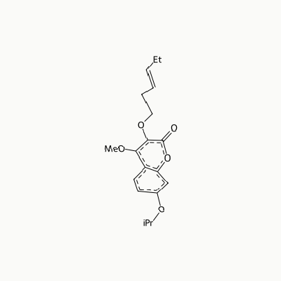 CCC=CCCOc1c(OC)c2ccc(OC(C)C)cc2oc1=O